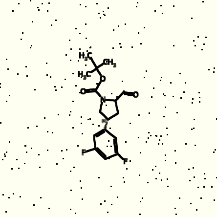 CC(C)(C)OC(=O)N1C[C@@H](c2cc(F)cc(F)c2)CC1C=O